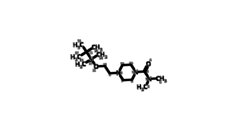 CN(C)C(=O)N1CCN(CCO[Si](C)(C)C(C)(C)C)CC1